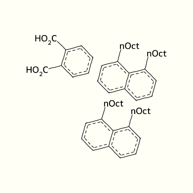 CCCCCCCCc1cccc2cccc(CCCCCCCC)c12.CCCCCCCCc1cccc2cccc(CCCCCCCC)c12.O=C(O)c1ccccc1C(=O)O